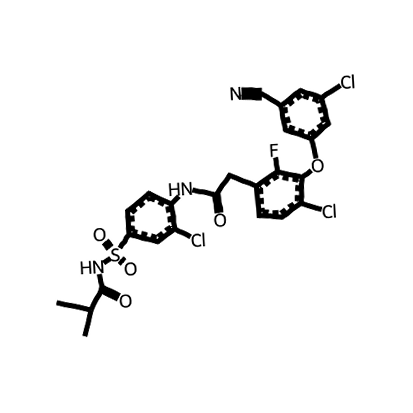 CC(C)C(=O)NS(=O)(=O)c1ccc(NC(=O)Cc2ccc(Cl)c(Oc3cc(Cl)cc(C#N)c3)c2F)c(Cl)c1